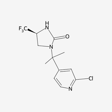 CC(C)(c1ccnc(Cl)c1)N1C[C@@H](C(F)(F)F)NC1=O